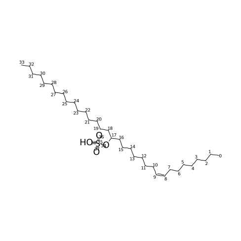 CCCCCCCC/C=C\CCCCCCCC(CCCCCCCCCCCCCCCC)OS(=O)(=O)O